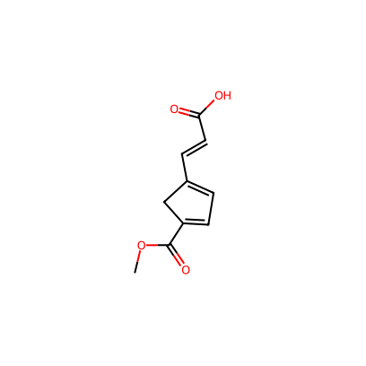 COC(=O)C1=CC=C(/C=C/C(=O)O)C1